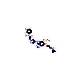 COc1cc2c(Nc3cnn(CC(=O)Nc4cccc(F)c4F)c3)ncnc2cc1OCCCNC1CC1